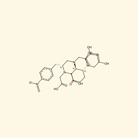 O=C(O)CN(CC(=O)O)[C@H](Cc1ccc([N+](=O)[O-])cc1)CN(CC(=O)O)[C@@H]1CCCC[C@H]1N(CC(=O)O)CC(=O)O